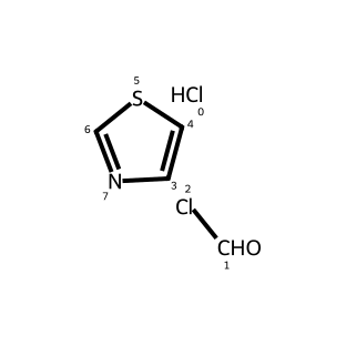 Cl.O=CCl.c1cscn1